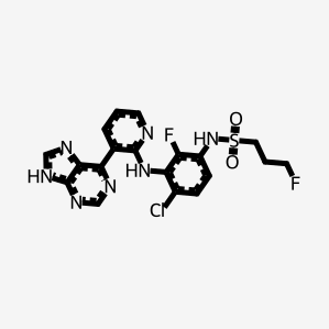 O=S(=O)(CCCF)Nc1ccc(Cl)c(Nc2ncccc2-c2ncnc3[nH]cnc23)c1F